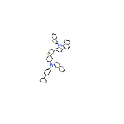 c1ccc(-c2ccc(N(c3ccc4ccccc4c3)c3ccc4sc5ccc(-c6ccc7c8ccc9ccccc9c8n(-c8ccc9ccccc9c8)c7c6)cc5c4c3)cc2)cc1